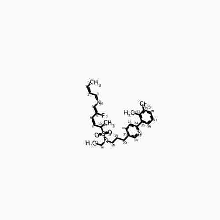 C\C=C/C=N\C=C(F)\C=C/C(C)S(=O)(=O)N(CC)CCCc1ccc(-c2cccc(C)c2C)nc1